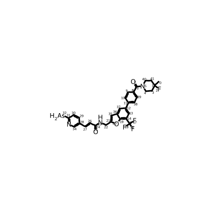 CC1(F)CCN(C(=O)c2ccc(-c3cc(C(F)(F)F)c4oc(CNC(=O)/C=C/c5ccc([AsH2])nc5)cc4c3)cc2)CC1